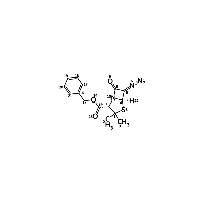 CC1(C)S[C@@H]2C(=[N+]=[N-])C(=O)N2[C@H]1C(=O)OCc1ccccc1